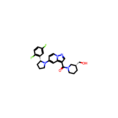 O=C(c1cnn2ccc(N3CCC[C@@H]3c3cc(F)ccc3F)cc12)N1CCC[C@@H](CO)C1